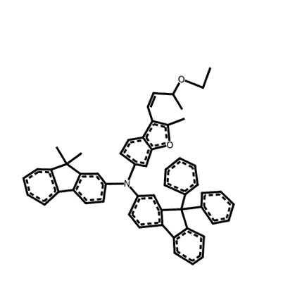 CCOC(C)/C=C\c1c(C)oc2cc(N(c3ccc4c(c3)C(C)(C)c3ccccc3-4)c3ccc4c(c3)C(c3ccccc3)(c3ccccc3)c3ccccc3-4)ccc12